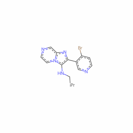 CC(C)CNc1c(-c2cnccc2Br)nc2cnccn12